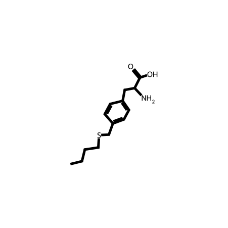 CCCCSCc1ccc(CC(N)C(=O)O)cc1